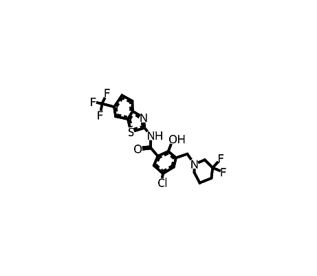 O=C(Nc1nc2ccc(C(F)(F)F)cc2s1)c1cc(Cl)cc(CN2CCCC(F)(F)C2)c1O